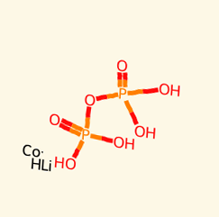 O=P(O)(O)OP(=O)(O)O.[Co].[LiH]